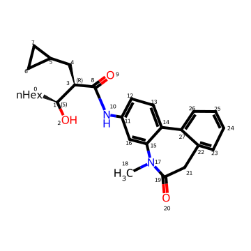 CCCCCC[C@H](O)[C@@H](CC1CC1)C(=O)Nc1ccc2c(c1)N(C)C(=O)Cc1ccccc1-2